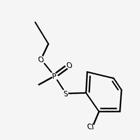 CCOP(C)(=O)Sc1ccccc1Cl